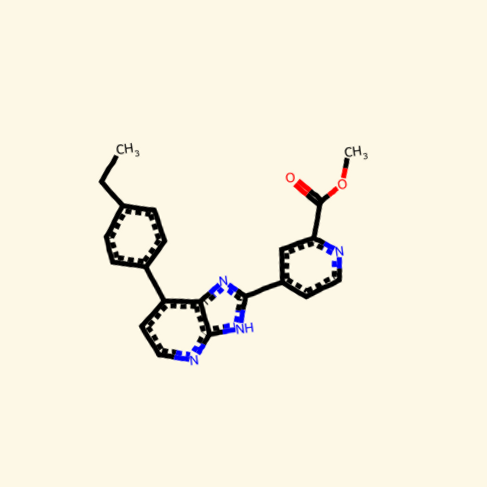 CCc1ccc(-c2ccnc3[nH]c(-c4ccnc(C(=O)OC)c4)nc23)cc1